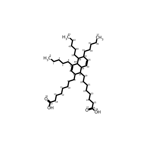 CCCCCC1=CC(CCCCCCCC(=O)O)C(CCCCCCCC(=O)O)C2C=CC(CCCCC)C(CCCCC)C12